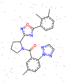 Cc1ccc(-n2nccn2)c(C(=O)N2CCCC2c2noc(-c3cccc(C)c3C)n2)c1